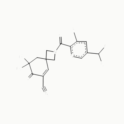 CC1(C)CC2(C=C(C#N)C1=O)CN(C(=O)c1ncc(C(F)F)cc1F)C2